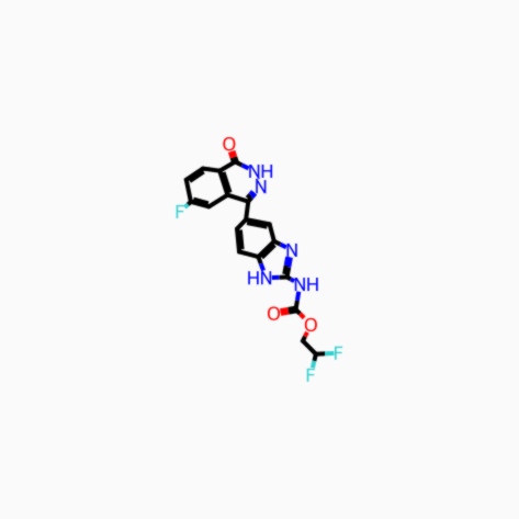 O=C(Nc1nc2cc(-c3n[nH]c(=O)c4ccc(F)cc34)ccc2[nH]1)OCC(F)F